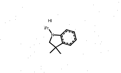 CC(C)N1CC(C)(C)c2ccccc21.I